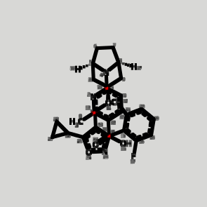 Cc1nc(N2[C@@H]3CC[C@H]2C[C@@H](OCc2c(-c4c(F)cccc4Cl)noc2C2CC2)C3)ccc1C(=O)O